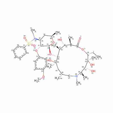 CC[C@H]1OC(=O)[C@H](C)[C@@H](O)[C@H](C)[C@@H](O[C@@H]2O[C@H](C)C[C@H](N(C)S(=O)(=O)c3ccccc3)[C@H]2Oc2ccc(OC)cc2)[C@](C)(O)C[C@@H](C)CN(C)[C@H](C)[C@@H](O)[C@]1(C)O